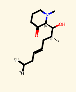 [2H]C([2H])CC=CC[C@@H](C)C(O)[C@H]1C(=O)CCCN1C